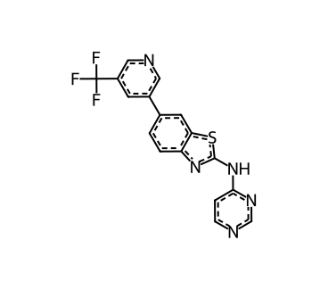 FC(F)(F)c1cncc(-c2ccc3nc(Nc4ccncn4)sc3c2)c1